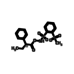 CC[C@H](C(=O)ONS(=O)(=O)c1ccccc1S(C)(=O)=O)c1ccccc1